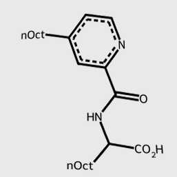 CCCCCCCCc1ccnc(C(=O)NC(CCCCCCCC)C(=O)O)c1